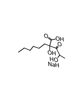 CCCCCCC(O)(C(=O)O)C(=O)C(C)O.[NaH]